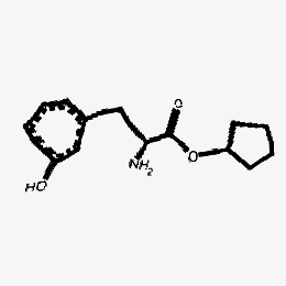 NC(Cc1cccc(O)c1)C(=O)OC1CCCC1